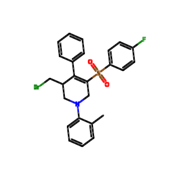 Cc1ccccc1N1CC(S(=O)(=O)c2ccc(F)cc2)=C(c2ccccc2)C(CBr)C1